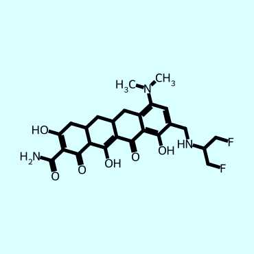 CN(C)c1cc(CNC(CF)CF)c(O)c2c1CC1CC3CC(O)=C(C(N)=O)C(=O)C3C(O)=C1C2=O